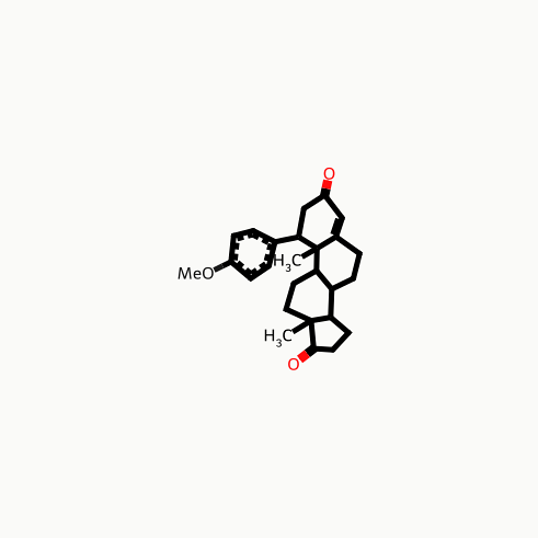 COc1ccc(C2CC(=O)C=C3CCC4C5CCC(=O)C5(C)CCC4C32C)cc1